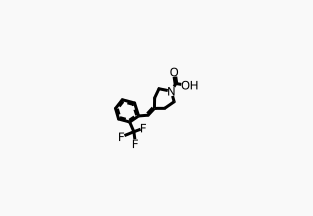 O=C(O)N1CCC(=Cc2ccccc2C(F)(F)F)CC1